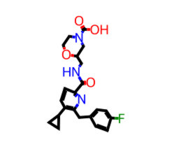 O=C(NCC1CN(C(=O)O)CCO1)c1ccc(C2CC2)c(Cc2ccc(F)cc2)n1